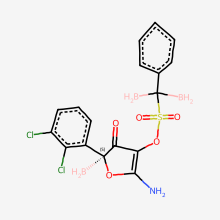 BC(B)(c1ccccc1)S(=O)(=O)OC1=C(N)O[C@@](B)(c2cccc(Cl)c2Cl)C1=O